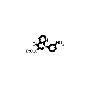 CCOC(=O)c1cn(-c2cccc([N+](=O)[O-])c2)c2ncccc2c1=O